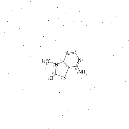 Cn1c(=O)sc2c(N)nccc21